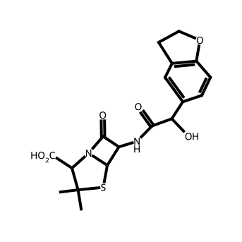 CC1(C)SC2C(NC(=O)C(O)c3ccc4c(c3)CCO4)C(=O)N2C1C(=O)O